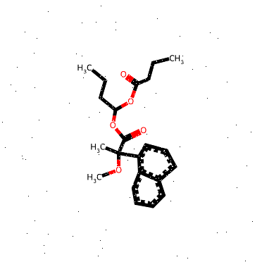 CCCC(=O)OC(CCC)OC(=O)C(C)(OC)c1cccc2ccccc12